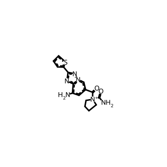 NC(=O)[N+]1(C(=O)c2cc(N)c3nc(-c4cccs4)nn3c2)CCCC1